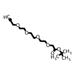 C#CCOCCOCCOCCOCC(=O)OC(C)(C)C